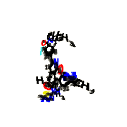 CCN(C)C(=O)c1ccc(-c2ccc3c(n2)Oc2nc(C)ccc2C3C(C)(C)C(=O)Nc2nncs2)cc1F